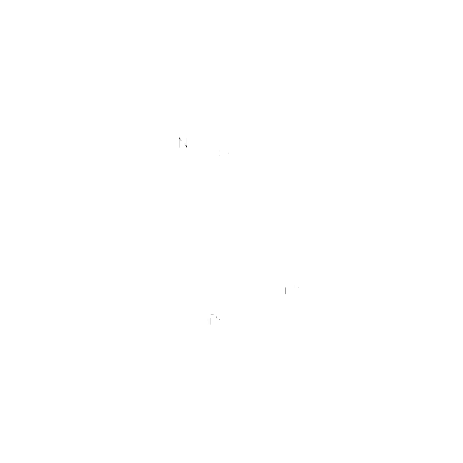 CC(C)c1cc2cnoc2cc1C(C)C